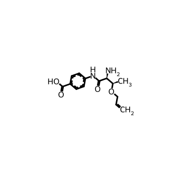 C=CCO[C@H](C)[C@H](N)C(=O)Nc1ccc(C(=O)O)cc1